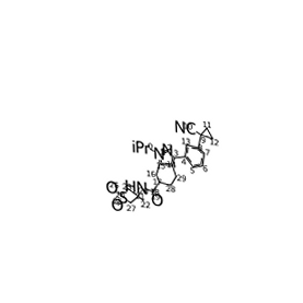 CC(C)n1nc(-c2cccc(C3(C#N)CC3)c2)c2c1C[C@H](C(=O)NC1(C)CS(=O)(=O)C1)CC2